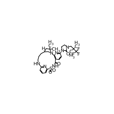 CC1(C)C[C@@H]2CCCNc3cccc(n3)S(=O)(=O)NC(=O)c3ccc(N4CCN(CC(C)(C)C(F)(F)F)C4=O)nc3N1C2